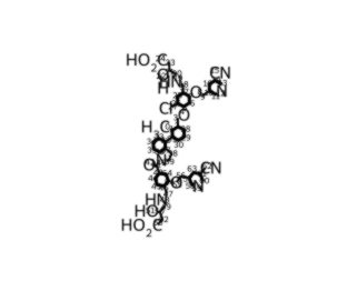 Cc1c(COc2cc(OCc3cncc(C#N)c3)c(CNCC(O)CC(=O)O)cc2Cl)cccc1-c1cccc2c1CCN2C(=O)c1ccc(CNCC(O)CC(=O)O)c(OCc2cncc(C#N)c2)c1